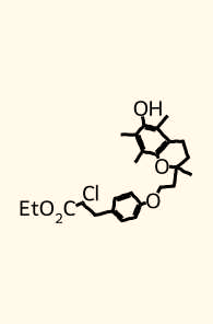 CCOC(=O)C(Cl)Cc1ccc(OCCC2(C)CCc3c(C)c(O)c(C)c(C)c3O2)cc1